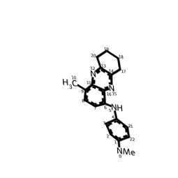 CNc1ccc(Nc2ccc(C)c3nc4c(nc23)CCCC4)cc1